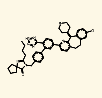 CCCCC1=NC2(CCCC2)C(=O)N1Cc1ccc(-c2cc(-c3ccc4c(n3)C(=C3CCNCC3)c3ccc(Cl)cc3CC4)ccc2-c2nn[nH]n2)cc1